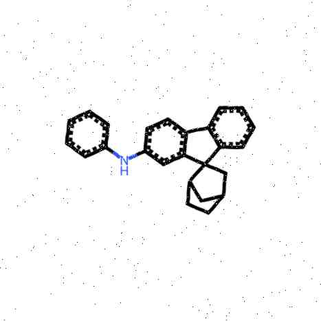 c1ccc(Nc2ccc3c(c2)C2(CC4CCC2C4)c2ccccc2-3)cc1